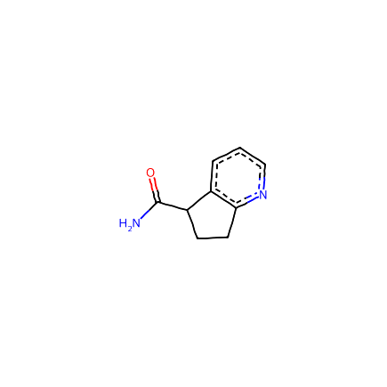 NC(=O)C1CCc2ncccc21